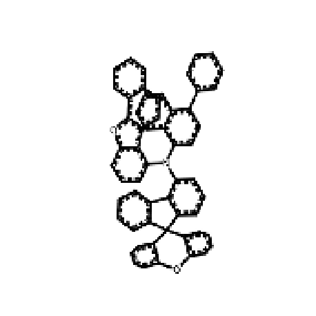 c1ccc(-c2ccc(N(c3cccc4c3-c3ccccc3C43c4ccccc4Oc4ccccc43)c3cccc4oc5c6ccccc6ccc5c34)c3ccccc23)cc1